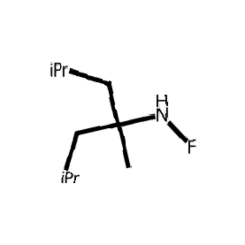 CC(C)CC(C)(CC(C)C)NF